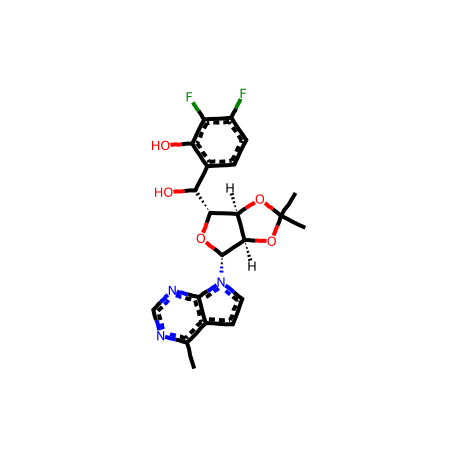 Cc1ncnc2c1ccn2[C@@H]1O[C@H](C(O)c2ccc(F)c(F)c2O)[C@H]2OC(C)(C)O[C@H]21